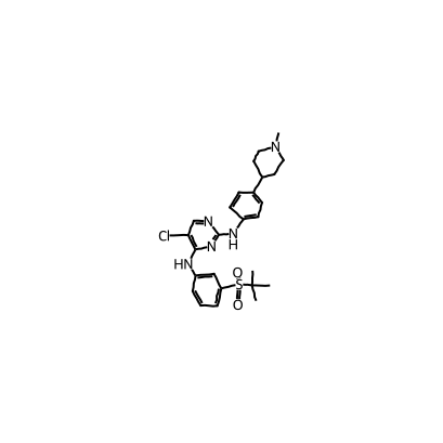 CN1CCC(c2ccc(Nc3ncc(Cl)c(Nc4cccc(S(=O)(=O)C(C)(C)C)c4)n3)cc2)CC1